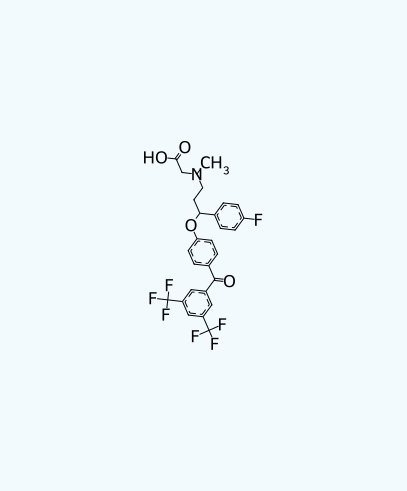 CN(CCC(Oc1ccc(C(=O)c2cc(C(F)(F)F)cc(C(F)(F)F)c2)cc1)c1ccc(F)cc1)CC(=O)O